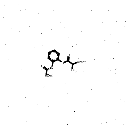 CCCCCCCCCCC(=O)Oc1ccccc1OC(=O)C(C)CCCCC